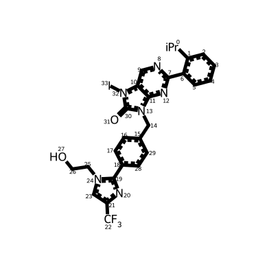 CC(C)c1ccccc1-c1ncc2c(n1)n(Cc1ccc(-c3nc(C(F)(F)F)cn3CCO)cc1)c(=O)n2I